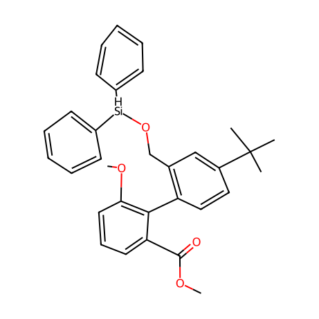 COC(=O)c1cccc(OC)c1-c1ccc(C(C)(C)C)cc1CO[SiH](c1ccccc1)c1ccccc1